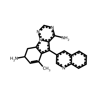 CC1=CC(N)Cc2c1c(-c1cnc3ccccc3c1)c1c(N)ncnn21